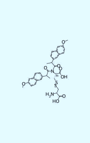 COc1ccc2cc(C(C)C(=O)N(C(=O)C(C)c3ccc4cc(OC)ccc4c3)[C@@H](CSSCC(N)C(=O)O)C(=O)O)ccc2c1